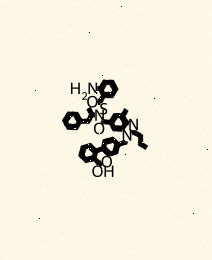 CCCc1nc2c(C)cc(C(=O)N(SC(=O)c3ccccc3N)C(C)Cc3ccccc3)cc2n1Cc1ccc(-c2ccccc2C(=O)O)cc1